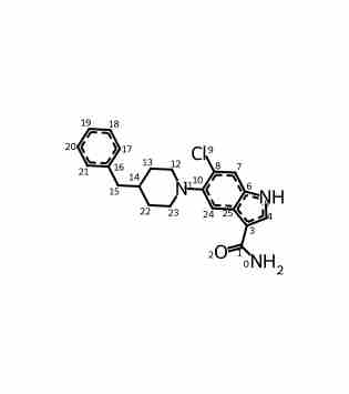 NC(=O)c1c[nH]c2cc(Cl)c(N3CCC(Cc4ccccc4)CC3)cc12